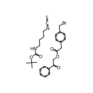 CC(C)(C)OC(=O)NCCCCN=C=S.O=C(Cc1ccc(CBr)cc1)OCC(=O)c1ccccc1